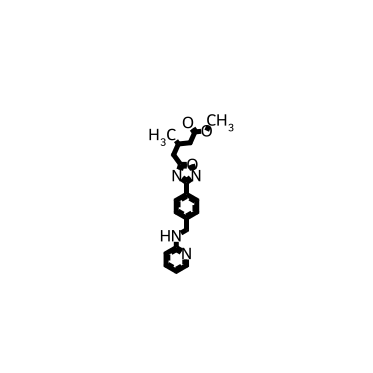 COC(=O)CC(C)Cc1nc(-c2ccc(CNc3ccccn3)cc2)no1